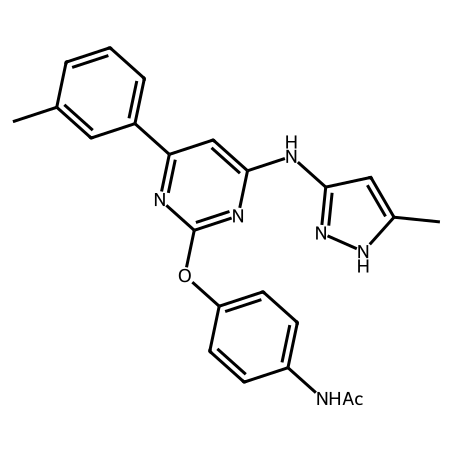 CC(=O)Nc1ccc(Oc2nc(Nc3cc(C)[nH]n3)cc(-c3cccc(C)c3)n2)cc1